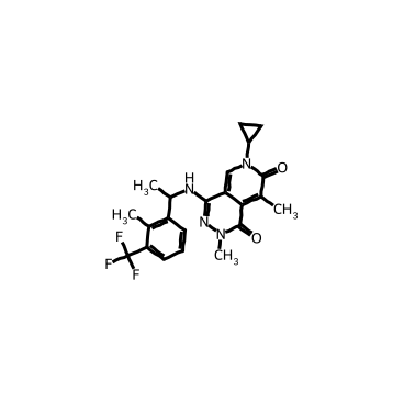 Cc1c(C(C)Nc2nn(C)c(=O)c3c(C)c(=O)n(C4CC4)cc23)cccc1C(F)(F)F